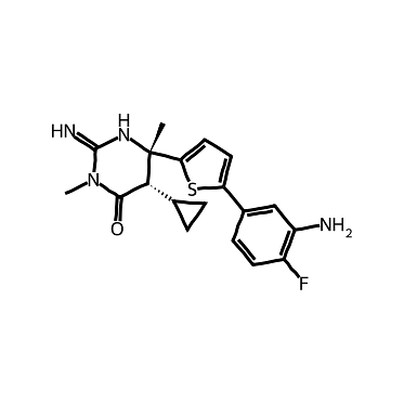 CN1C(=N)N[C@](C)(c2ccc(-c3ccc(F)c(N)c3)s2)[C@H](C2CC2)C1=O